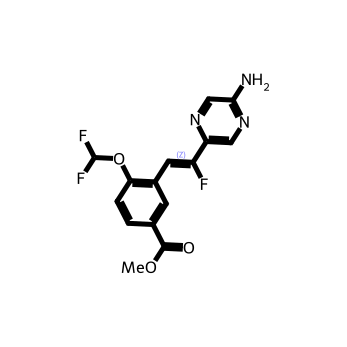 COC(=O)c1ccc(OC(F)F)c(/C=C(\F)c2cnc(N)cn2)c1